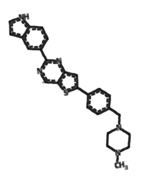 CN1CCN(Cc2ccc(-c3cc4nc(-c5ccc6[nH]ccc6c5)n[c]c4s3)cc2)CC1